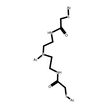 CC(=O)SCC(=O)NCCN(CCNC(=O)CSC(C)=O)C(C)=O